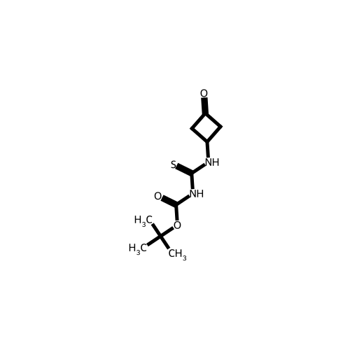 CC(C)(C)OC(=O)NC(=S)NC1CC(=O)C1